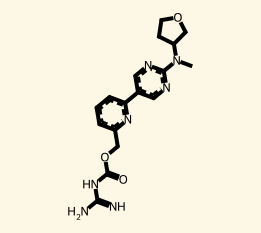 CN(c1ncc(-c2cccc(COC(=O)NC(=N)N)n2)cn1)C1CCOC1